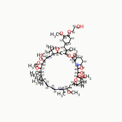 [2H]C([2H])([2H])[C@@H]1/C=C(\C)[C@@H](O)[C@@H](OC)C(=O)[C@H](C)C([2H])(C)[C@]([2H])(C)/C=C/C=C/C=C(\C)[C@@H](OC)C[C@@H]2CC([2H])([2H])[C@@H](C)[C@@](O)(O2)C(=O)C(=O)N2CCCC[C@H]2C(=O)O[C@H]([C@H](C)C[C@@H]2CC[C@@H](OCCO)[C@H](OC)C2)CC1=O